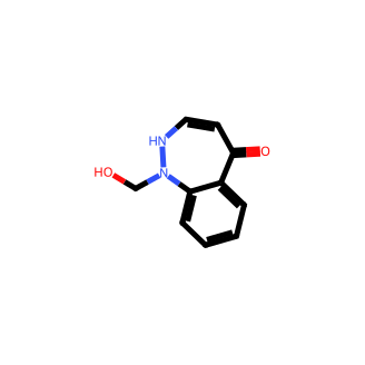 O=C1C=CNN(CO)c2ccccc21